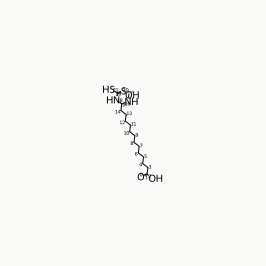 O=C(O)CCCCCCCCCCCCC(NO)NC(=S)S